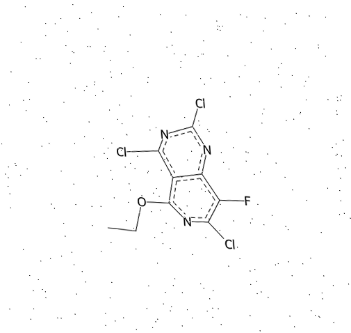 CCOc1nc(Cl)c(F)c2nc(Cl)nc(Cl)c12